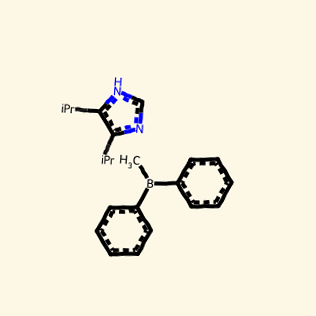 CB(c1ccccc1)c1ccccc1.CC(C)c1nc[nH]c1C(C)C